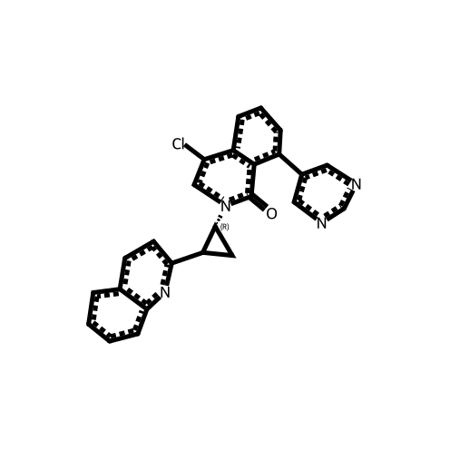 O=c1c2c(-c3cncnc3)cccc2c(Cl)cn1[C@@H]1CC1c1ccc2ccccc2n1